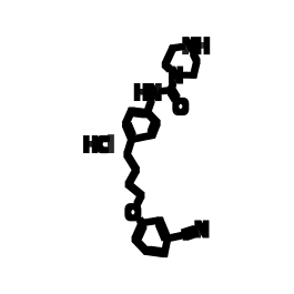 Cl.N#Cc1cccc(OCCCCc2ccc(NC(=O)N3CCNCC3)cc2)c1